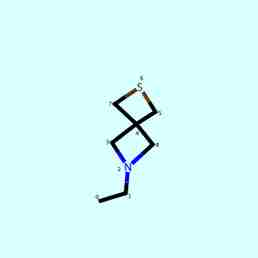 CCN1CC2(CSC2)C1